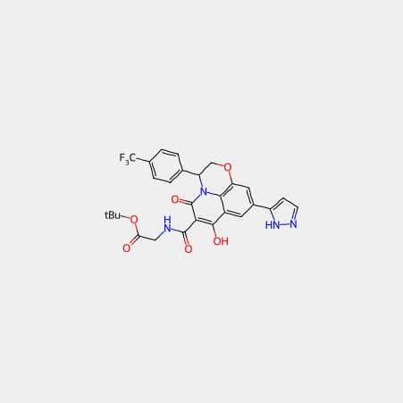 CC(C)(C)OC(=O)CNC(=O)c1c(O)c2cc(-c3ccn[nH]3)cc3c2n(c1=O)C(c1ccc(C(F)(F)F)cc1)CO3